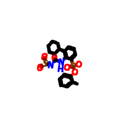 Cc1ccccc1OS(=O)(=O)c1cccc(C2CCCCC2)c1NC(=O)N=S(=O)=O